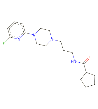 O=C(NCCCN1CCN(c2cccc(F)n2)CC1)C1CCCC1